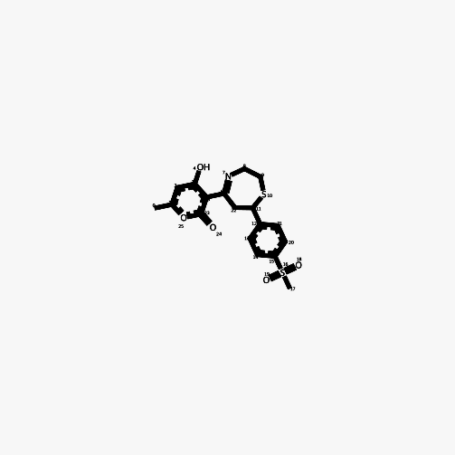 Cc1cc(O)c(C2=NCCSC(c3ccc(S(C)(=O)=O)cc3)C2)c(=O)o1